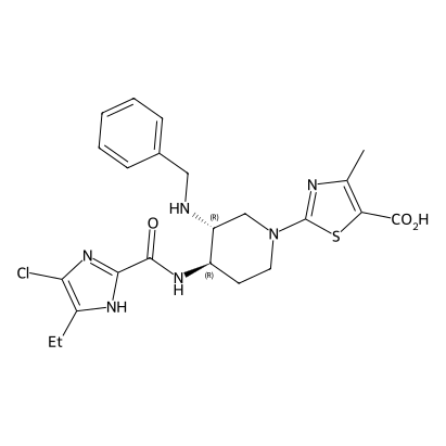 CCc1[nH]c(C(=O)N[C@@H]2CCN(c3nc(C)c(C(=O)O)s3)C[C@H]2NCc2ccccc2)nc1Cl